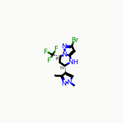 Cc1nn(C)cc1[C@@H]1C[C@H](C(F)(F)F)n2nc(Br)cc2N1